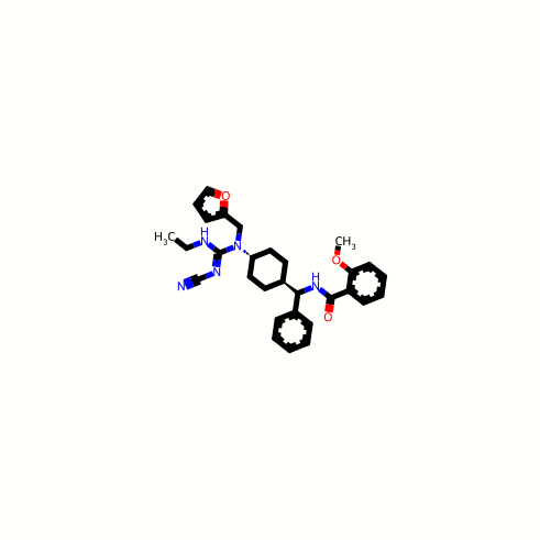 CCNC(=NC#N)N(Cc1ccco1)[C@H]1CC[C@H](C(NC(=O)c2ccccc2OC)c2ccccc2)CC1